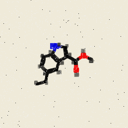 CCc1ccc2[nH]cc(C(=O)OC)c2c1